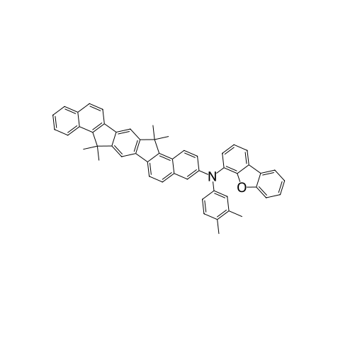 Cc1ccc(N(c2ccc3c4c(ccc3c2)-c2cc3c(cc2C4(C)C)-c2ccc4ccccc4c2C3(C)C)c2cccc3c2oc2ccccc23)cc1C